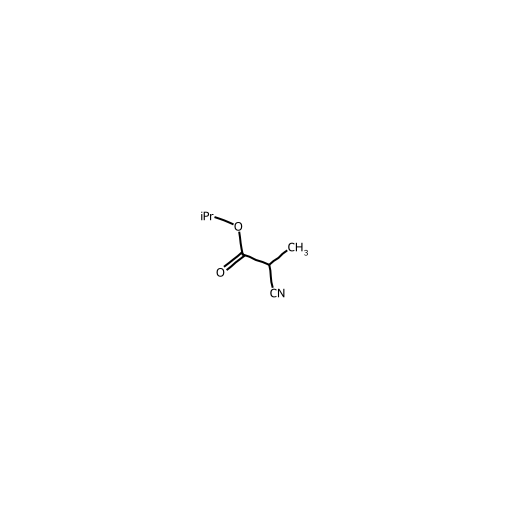 CC(C)OC(=O)C(C)C#N